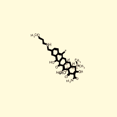 COCCCNCc1ccc2c(F)c3c(c(O)c2c1)C(=O)C1=C(O)[C@]2(O)C(=O)C(C(N)=O)=C(O)[C@@H](N(C)C)[C@@H]2C[C@@H]1C3